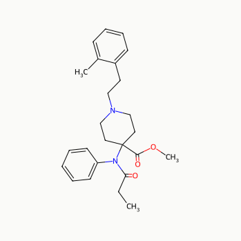 CCC(=O)N(c1ccccc1)C1(C(=O)OC)CCN(CCc2ccccc2C)CC1